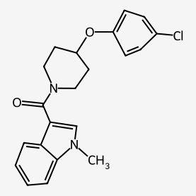 Cn1cc(C(=O)N2CCC(Oc3ccc(Cl)cc3)CC2)c2ccccc21